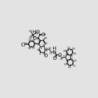 CC1=CC2C(C=CC(=O)N2CCNC(=O)OCC2c3ccccc3-c3ccccc32)C(c2ccc(Cl)cc2)=C1[C@H](OC(C)(C)C)C(=O)O